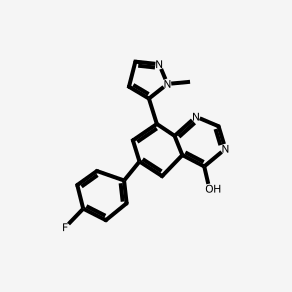 Cn1nccc1-c1cc(-c2ccc(F)cc2)cc2c(O)ncnc12